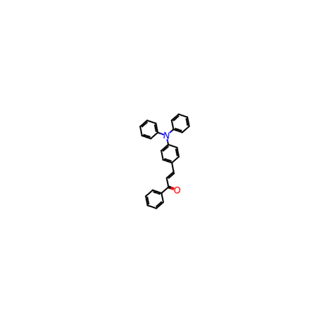 O=C(C=Cc1ccc(N(c2ccccc2)c2ccccc2)cc1)c1ccccc1